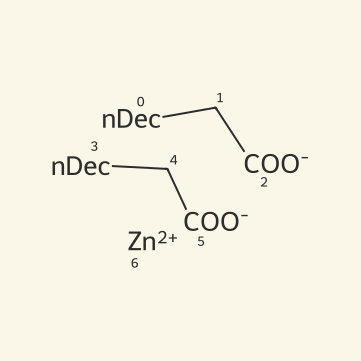 CCCCCCCCCCCC(=O)[O-].CCCCCCCCCCCC(=O)[O-].[Zn+2]